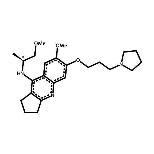 COC[C@H](C)Nc1c2c(nc3cc(OCCCN4CCCC4)c(OC)cc13)CCC2